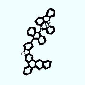 Cc1ccccc1N(c1c2ccccc2c(-c2ccc3oc4cc5c6ccccc6c6cc7ccccc7cc6c5cc4c3c2)c2ccccc12)c1cccc2c1oc1ccccc12